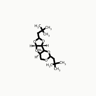 CC(C)(C)CC1OC[C@H]2O[C@@H]3OC(CC(C)(C)C)O[C@@H]3[C@H]2O1